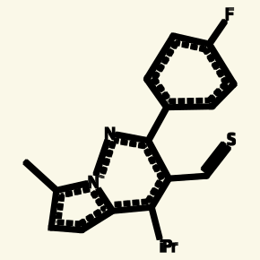 Cc1ccc2c(C(C)C)c(C=S)c(-c3ccc(F)cc3)nn12